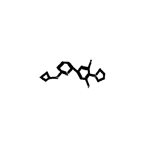 Fc1cc(-c2cccc(OC3CCC3)n2)cc(F)c1N1C[CH]CC1